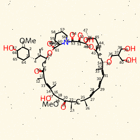 CO[C@@H]1C[C@H](C[C@@H](C)[C@@H]2CC(=O)[C@H](C)/C=C(\C)[C@@H](O)[C@@H](OC)C(=O)[C@H](C)C[C@H](C)/C=C/C=C/C=C(\C)[C@@H](OCC(CO)CO)C[C@@H]3CC[C@@H](C)[C@@](O)(O3)C(=O)C(=O)N3CCCC[C@H]3C(=O)O2)CC[C@H]1O